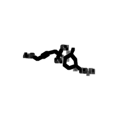 CCOC(=O)[C@H]1CC[C@H](C(C#N)(C#N)CC#CCOC(C)=O)[C@@H](C)C1